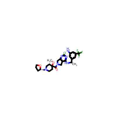 COC1(C(=O)N2Cc3nc(Cl)nc(NC(C)c4cc(N)cc(C(F)(F)F)c4)c3C2)CCN(C[C@@H]2CCCO2)CC1